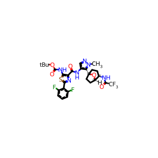 Cn1ncc(NC(=O)c2nc(-c3c(F)cccc3F)sc2NC(=O)OC(C)(C)C)c1[C@@]12CC[C@@H](NC(=O)C(F)(F)F)[C@@H](CC1)O2